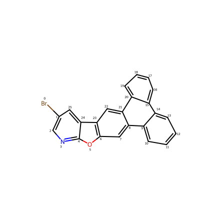 Brc1cnc2oc3cc4c5ccccc5c5ccccc5c4cc3c2c1